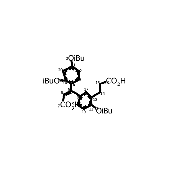 CC(C)COc1ccc(C(=CC(=O)O)c2ccc(OCC(C)C)c(CCC(=O)O)c2)c(OCC(C)C)c1